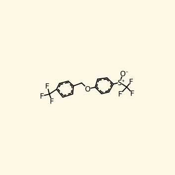 [O-][S+](c1ccc(OCc2ccc(C(F)(F)F)cc2)cc1)C(F)(F)F